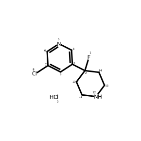 Cl.FC1(c2cncc(Cl)c2)CCNCC1